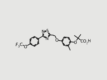 Cc1cc(OCc2nc(-c3ccc(OC(F)(F)F)cc3)ns2)ccc1OC(C)(C)C(=O)O